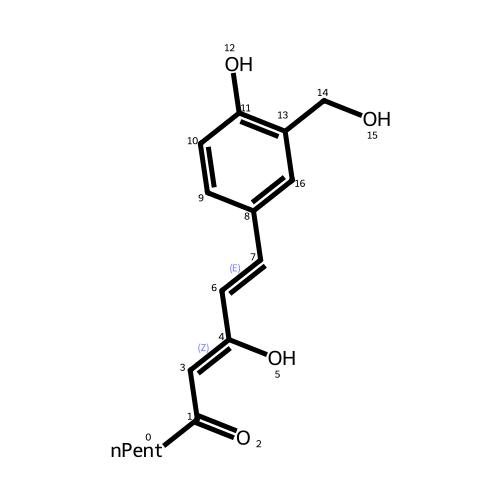 CCCCCC(=O)/C=C(O)/C=C/c1ccc(O)c(CO)c1